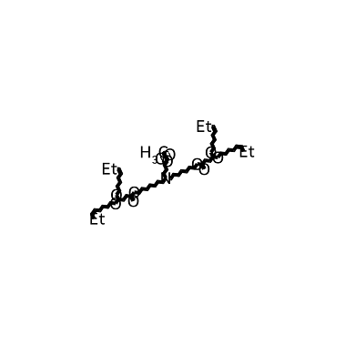 CC/C=C\CCCCOC(CCC(=O)OCCCCCCCN(CCCCCCCOC(=O)CCC(OCCCC/C=C\CC)OCCCC/C=C\CC)CCCOS(C)(=O)=O)OCCCC/C=C\CC